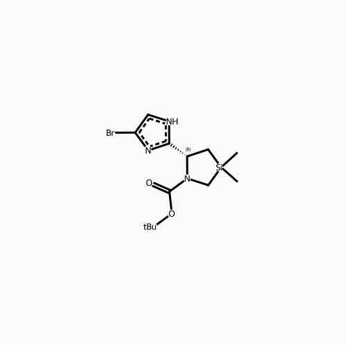 CC(C)(C)OC(=O)N1C[Si](C)(C)C[C@H]1c1nc(Br)c[nH]1